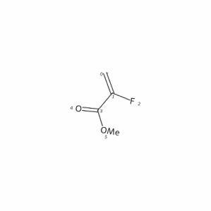 [CH]=C(F)C(=O)OC